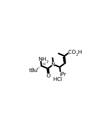 CC(=CC(C(C)C)N(C)C(=O)[C@@H](N)C(C)(C)C)C(=O)O.Cl